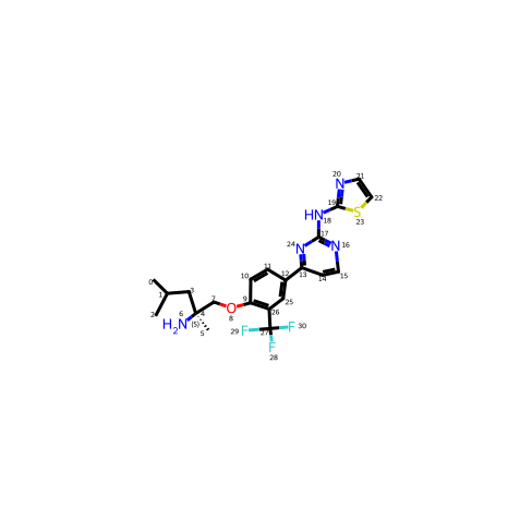 CC(C)C[C@](C)(N)COc1ccc(-c2ccnc(Nc3nccs3)n2)cc1C(F)(F)F